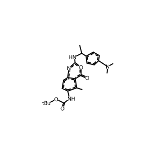 Cc1c(NC(=O)OC(C)(C)C)ccc2nc(NC(C)c3ccc(N(C)C)cc3)oc(=O)c12